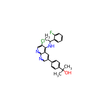 CC(Nc1c(Cl)cnc2ncc(-c3ccc(C(C)(C)O)cc3)cc12)c1ccccc1F